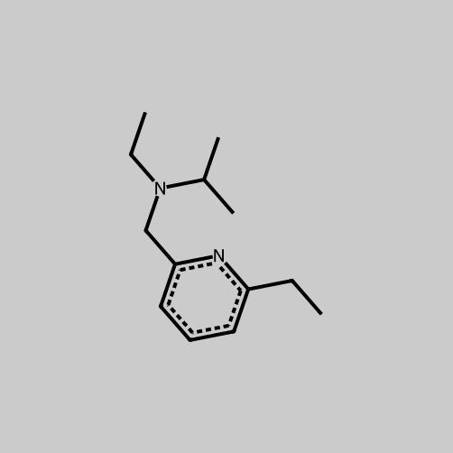 CCc1cccc(CN(CC)C(C)C)n1